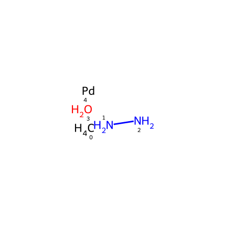 C.NN.O.[Pd]